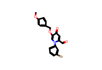 COc1ccc(COc2cn(-c3cccc(Br)c3)c(C=O)cc2=O)cc1